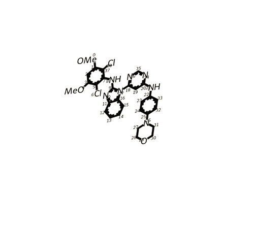 COc1cc(OC)c(Cl)c(Nc2nc3ccccc3n2-c2cc(Nc3ccc(N4CCOCC4)cc3)ncn2)c1Cl